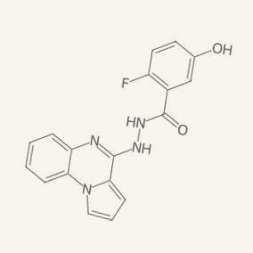 O=C(NNc1nc2ccccc2n2cccc12)c1cc(O)ccc1F